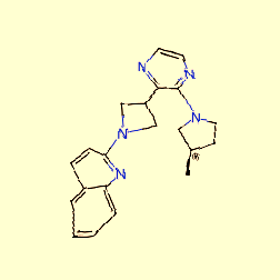 C[C@@H]1CCN(c2nccnc2C2CN(c3ccc4ccccc4n3)C2)C1